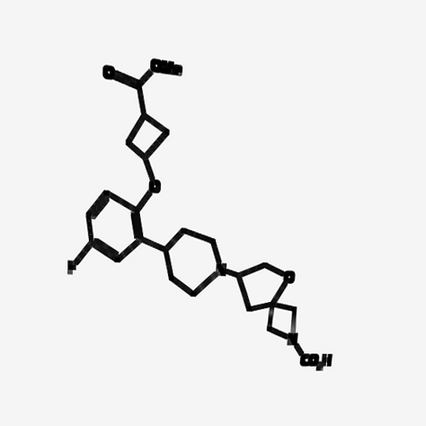 COC(=O)C1CC(Oc2ccc(F)cc2C2CCN(C3COC4(C3)CN(C(=O)O)C4)CC2)C1